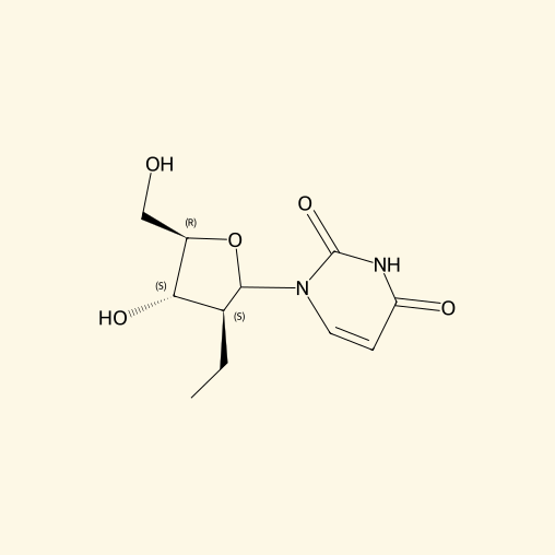 CC[C@@H]1C(n2ccc(=O)[nH]c2=O)O[C@H](CO)[C@H]1O